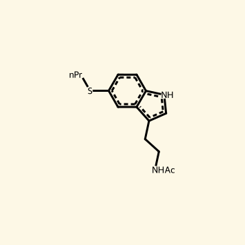 CCCSc1ccc2[nH]cc(CCNC(C)=O)c2c1